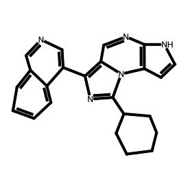 c1ccc2c(-c3nc(C4CCCCC4)n4c3cnc3[nH]ccc34)cncc2c1